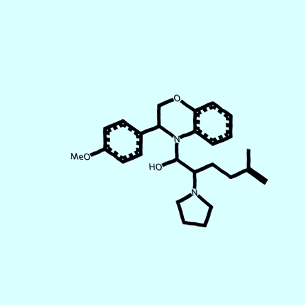 C=C(C)CCC(C(O)N1c2ccccc2OCC1c1ccc(OC)cc1)N1CCCC1